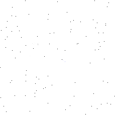 COC(=O)C1CN(c2ccccc2)CCO1